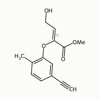 C#Cc1ccc(C)c(O/C(=C\CO)C(=O)OC)c1